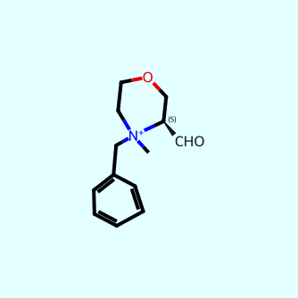 C[N+]1(Cc2ccccc2)CCOC[C@H]1C=O